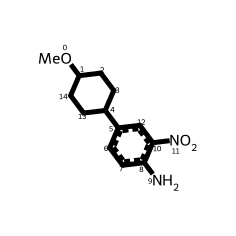 COC1CCC(c2ccc(N)c([N+](=O)[O-])c2)CC1